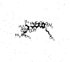 COCCCOc1cc(C[C@@H](C[C@H](N)[C@@H](O)C[C@H](C(=O)NCC(=O)N(C)C)C(C)C)C(C)C)ccc1OC